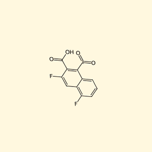 O=C(O)c1c(F)cc2c(F)cccc2c1I(=O)=O